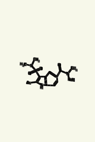 CC(=O)c1[nH]c2ccc(C(=O)[N](C)[RaH])cc2c1S(=O)(=O)N(C)C